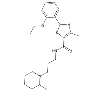 CCOc1ccccc1-c1nc(C)c(C(=O)NCCCN2CCCCC2C)s1